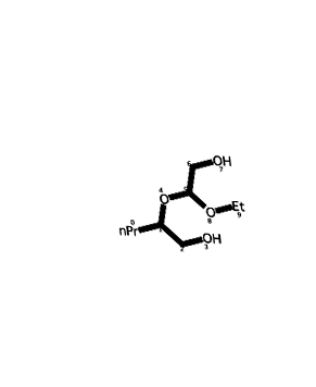 CCCC(CO)OC(CO)OCC